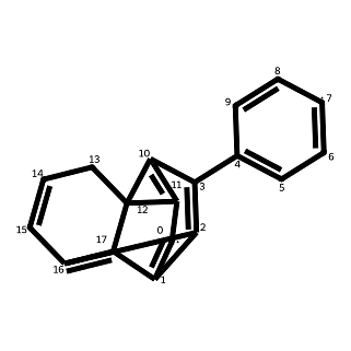 [C]1=C2C3=C(c4cc[c]cc4)C4=C1C41CC=CC3=C21